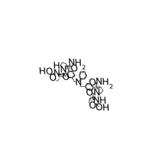 CC[C@H](NC(=O)O)C(=O)N1CCC[C@@]1(C(N)=O)c1ccc(CN(Cc2ccc([C@]3(C(N)=O)CCCN3C(=O)[C@H](CC)NC(=O)O)cc2)c2ccccc2)cc1